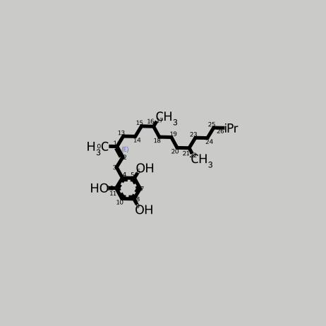 C/C(=C\Cc1c(O)cc(O)cc1O)CCCC(C)CCCC(C)CCCC(C)C